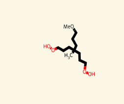 COCCCC(C)(CCCOO)CCCOO